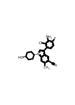 Cc1cc2c(cc1C#N)c(-c1ccc(F)c(N)c1Cl)cn2[C@H]1CC[C@H](O)CC1